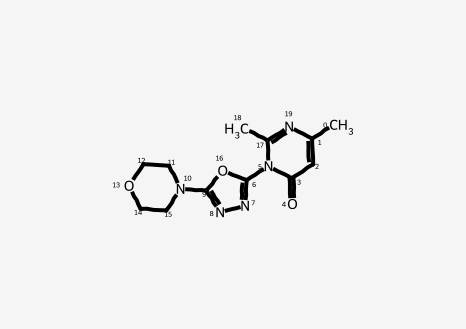 Cc1cc(=O)n(-c2nnc(N3CCOCC3)o2)c(C)n1